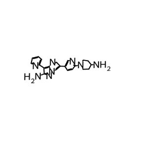 Nc1nn2cc(-c3ccc(N4CCC(N)CC4)nc3)cnc2c1-c1ccccn1